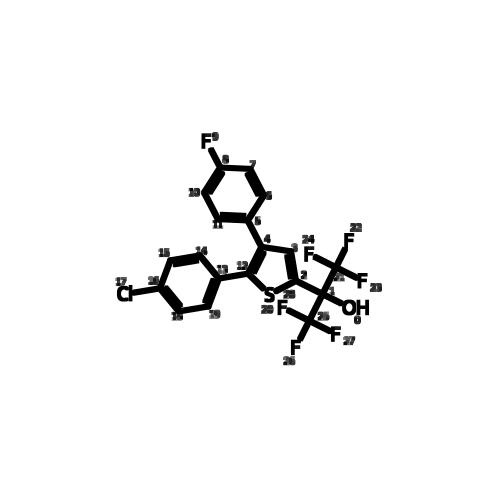 OC(c1cc(-c2ccc(F)cc2)c(-c2ccc(Cl)cc2)s1)(C(F)(F)F)C(F)(F)F